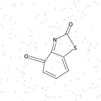 O=C1N=C2C(=O)C=CC=C2S1